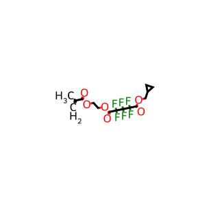 C=C(C)C(=O)OCCOC(=O)C(F)(F)C(F)(F)C(F)(F)C(=O)OCC1CC1